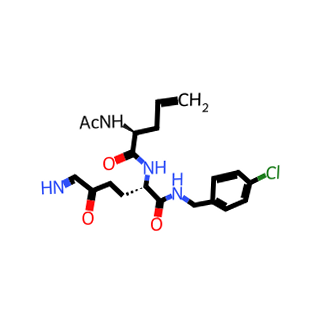 C=CC[C@H](NC(C)=O)C(=O)N[C@@H](CCC(=O)C=N)C(=O)NCc1ccc(Cl)cc1